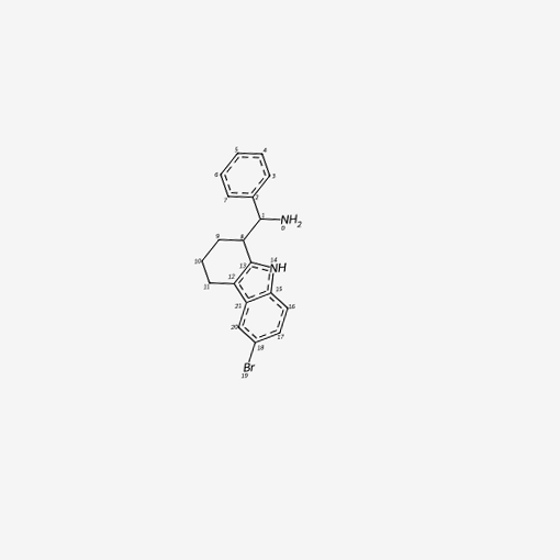 NC(c1ccccc1)C1CCCc2c1[nH]c1ccc(Br)cc21